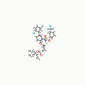 CC(C)(C)OC(=O)[C@H]1C[C@@H]1[C@H]1CN(S(=O)(=O)c2cccc(C(F)(F)F)c2)c2cc(-c3cc(F)ccc3F)ccc2O1